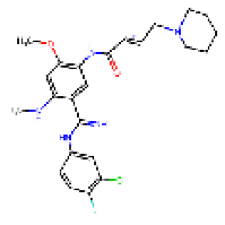 CNc1cc(OC)c(NC(=O)/C=C/CN2CCCCC2)cc1C(=N)Nc1ccc(F)c(Cl)c1